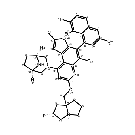 CCc1c(F)ccc2cc(O)cc(-c3c(F)c4nc(OC[C@@]56CCCN5C[C@H](F)C6)nc(N5C[C@H]6CC[C@@H](C5)N6)c4c4cc(C)oc34)c12